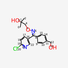 CC(C)(O)CO/N=C(/c1ccc(CO)cc1)c1ccc(Cl)nc1